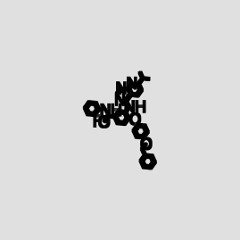 CC(C)c1ccc2c(Nc3cc(C(=O)Nc4ccccc4F)ccc3Oc3ccc(OCc4ccccc4)cc3)ncnc2n1